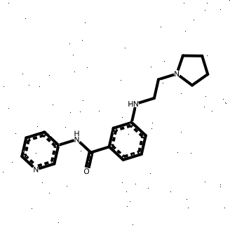 O=C(Nc1cccnc1)c1cccc(NCCN2CCCC2)c1